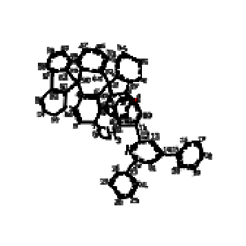 CC1C=CC2=C(C1c1cccc(-c3cc(-c4ccccc4)cc(-c4ccccc4)n3)c1)C1(c3ccccc3-c3ccccc31)c1ccccc1C21C2=C(C=CCC2)c2ccccc21